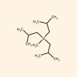 CC(C)C[Si](C)(CC(C)C)CC(C)C